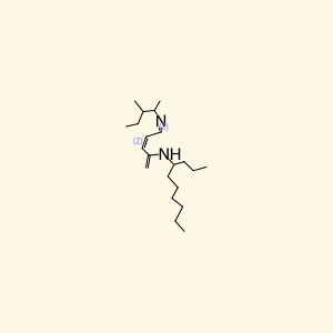 C=C(/C=C\C=N/C(C)C(C)CC)NC(CCC)CCCCCC